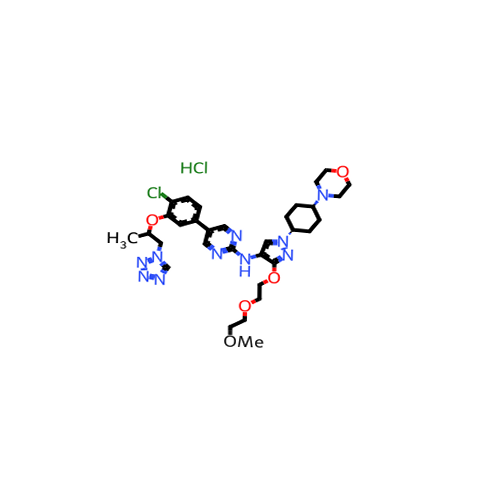 COCCOCCOc1nn([C@H]2CC[C@H](N3CCOCC3)CC2)cc1Nc1ncc(-c2ccc(Cl)c(OC(C)Cn3cnnn3)c2)cn1.Cl